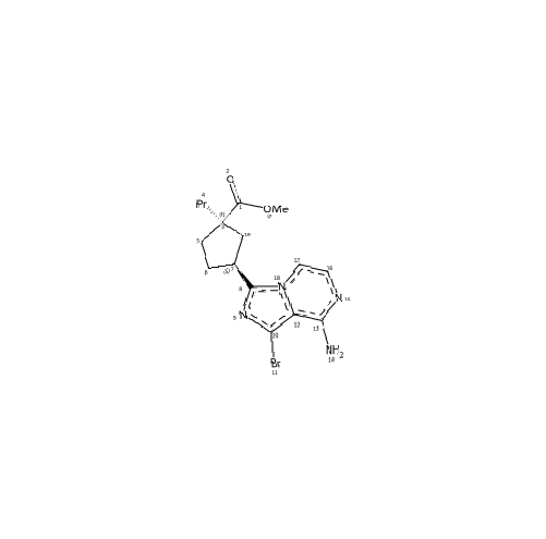 COC(=O)[C@]1(C(C)C)CC[C@H](c2nc(Br)c3c(N)nccn23)C1